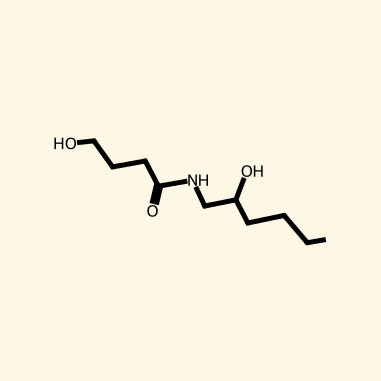 CCCCC(O)CNC(=O)CCCO